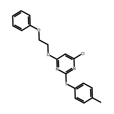 Cc1ccc(Sc2nc(Cl)cc(OCCOc3ccccc3)n2)cc1